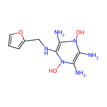 NC1=C(N)N(O)C(NCc2ccco2)=C(N)N1O